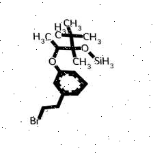 CC(Oc1cccc(CCBr)c1)C(C)(O[SiH3])C(C)(C)C